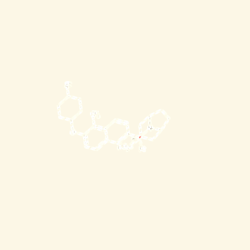 CCC1CCC(Oc2ccc3cc([C@@H](CC)N4C5CCC4CC(C(=O)O)C5)ccc3c2C(F)(F)F)CC1